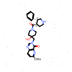 COc1ccc2ncn(CC3(O)CCN(C(=O)[C@@H]4CCNC[C@H]4c4ccccc4)CC3)c(=O)c2n1